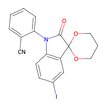 N#Cc1ccccc1N1C(=O)C2(OCCCO2)c2cc(I)ccc21